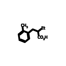 CCC(Cc1ccccc1C)C(=O)O